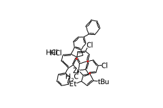 Cl.Cl.[CH2]=[Zr]([C]1=CC(C(C)(C)C)=CC1CC)([c]1ccc(Cl)cc1)([c]1ccc(Cl)cc1)[c]1c(-c2ccccc2)ccc2c1Cc1cc(-c3ccccc3)ccc1-2